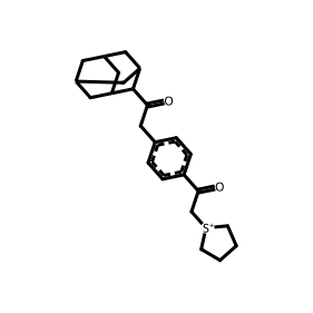 O=C(C[S+]1CCCC1)c1ccc(CC(=O)C2C3CC4CC(C3)CC2C4)cc1